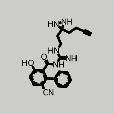 C#CCCC1(CCNC(=N)NC(=O)c2c(O)ccc(C#N)c2-c2ccccc2)NN1